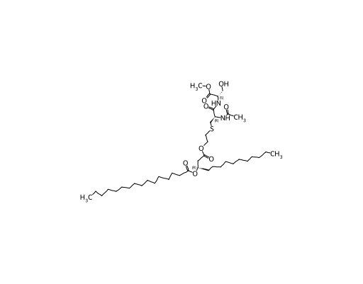 CCCCCCCCCCCCCCCC(=O)O[C@H](CCCCCCCCCCC)CC(=O)OCCSC[C@H](NC(C)=O)C(=O)N[C@@H](CO)C(=O)OC